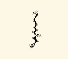 CC(C)CCCCCCNCCO